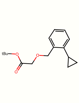 CC(C)(C)OC(=O)COCc1ccccc1C1CC1